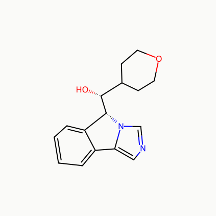 O[C@H](C1CCOCC1)[C@H]1c2ccccc2-c2cncn21